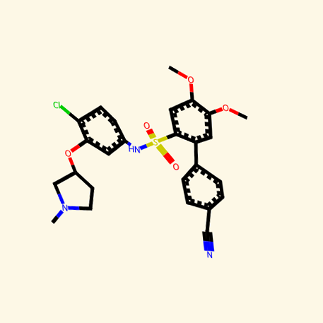 COc1cc(-c2ccc(C#N)cc2)c(S(=O)(=O)Nc2ccc(Cl)c(OC3CCN(C)C3)c2)cc1OC